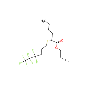 CCCCC(SCCCC(F)(F)C(F)(F)C(F)(F)F)C(=O)OCCC